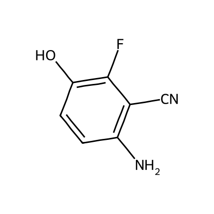 N#Cc1c(N)ccc(O)c1F